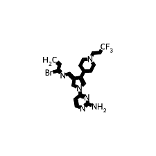 C=C/C(Br)=N\C=C1/CN(c2ccnc(N)n2)C=C1C1CCN(CCC(F)(F)F)CC1